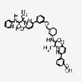 COc1cccc(-c2ccc(=O)n(C(C)C(=O)NC3CCCC(COc4cccc(C5=NN(C(C)C(=O)Nc6ccccn6)C(O)C=C5)c4)C3)n2)c1